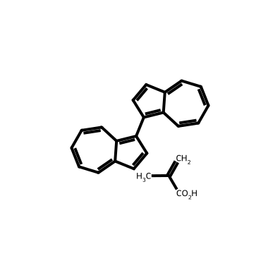 C=C(C)C(=O)O.c1ccc2ccc(-c3ccc4cccccc3-4)c-2cc1